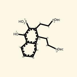 CCCCCCCCCCCCc1c(S(=O)(=O)O)c(O)c2ccccc2c1CCCCCCCCCCCC